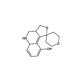 OC1=CC=CC2NCC3COC4(CCOCC4)C3=C12